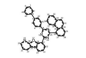 c1ccc(-c2ccc(-c3nc(-c4cccc5c4oc4ncccc45)nc(-c4cccc5ccc6ccccc6c45)n3)cc2)cc1